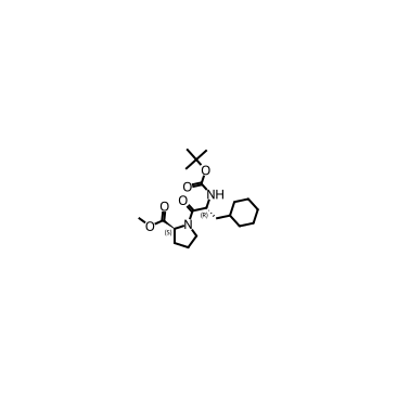 COC(=O)[C@@H]1CCCN1C(=O)[C@@H](CC1CCCCC1)NC(=O)OC(C)(C)C